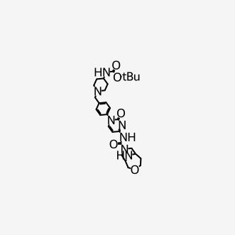 CC(C)(C)OC(=O)NC1CCN(Cc2ccc(-n3ccc(NC(=O)N4CC5CCOCC(C4)N5)nc3=O)cc2)CC1